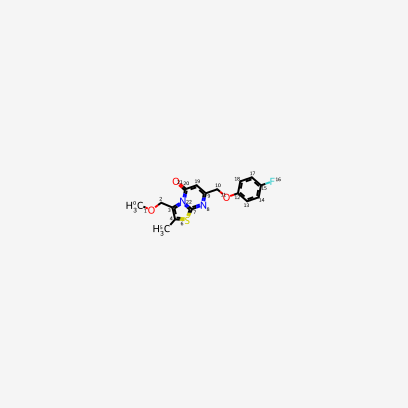 COCc1c(C)sc2nc(COc3ccc(F)cc3)cc(=O)n12